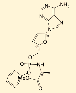 COC(=O)[C@H](C)NP(=O)(OC[C@@H]1C=C[C@H](n2cnc3c(N)ncnc32)O1)Oc1ccccc1